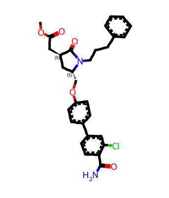 COC(=O)C[C@@H]1C[C@@H](COc2ccc(-c3ccc(C(N)=O)c(Cl)c3)cc2)N(CCCc2ccccc2)C1=O